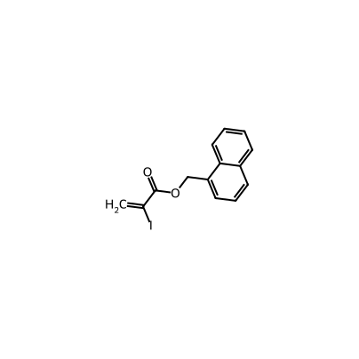 C=C(I)C(=O)OCc1cccc2ccccc12